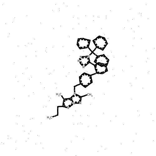 CCCc1nn2nc(C)n(Cc3ccc(-c4ccccc4-c4nnnn4C(c4ccccc4)(c4ccccc4)c4ccccc4)cc3)c2c1C